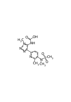 Cc1nc(-c2nnn(C)c2NC(=O)O)ccc1N(C)S(C)(=O)=O